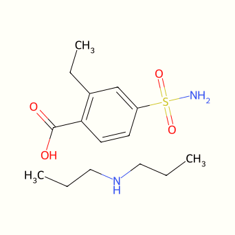 CCCNCCC.CCc1cc(S(N)(=O)=O)ccc1C(=O)O